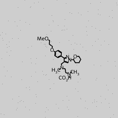 COCCCOc1ccc(-c2nn(C3CCCCO3)cc2CN(C)CCN(C)C(=O)O)cc1